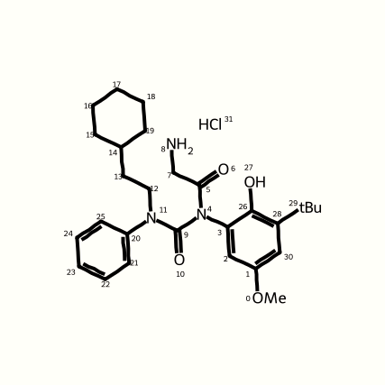 COc1cc(N(C(=O)CN)C(=O)N(CCC2CCCCC2)c2ccccc2)c(O)c(C(C)(C)C)c1.Cl